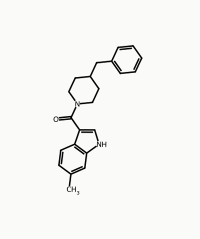 Cc1ccc2c(C(=O)N3CCC(Cc4ccccc4)CC3)c[nH]c2c1